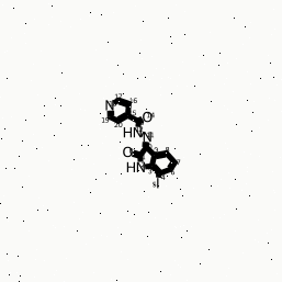 O=C1Nc2c(I)cccc2/C1=N/NC(=O)c1ccncc1